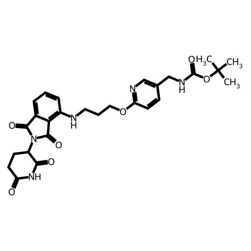 CC(C)(C)OC(=O)NCc1ccc(OCCCNc2cccc3c2C(=O)N(C2CCC(=O)NC2=O)C3=O)nc1